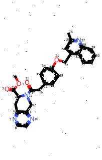 COC(=O)C1Cc2nccnc2CN1C(=O)Cc1ccc(OCc2cc(C)nc3ccccc23)cc1